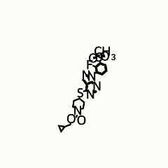 CS(=O)(=O)c1cccc(-n2ncc3c(SC4CCN(C(=O)OCC5CC5)CC4)ncnc32)c1F